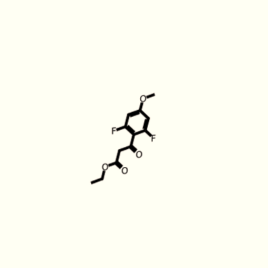 CCOC(=O)CC(=O)c1c(F)cc(OC)cc1F